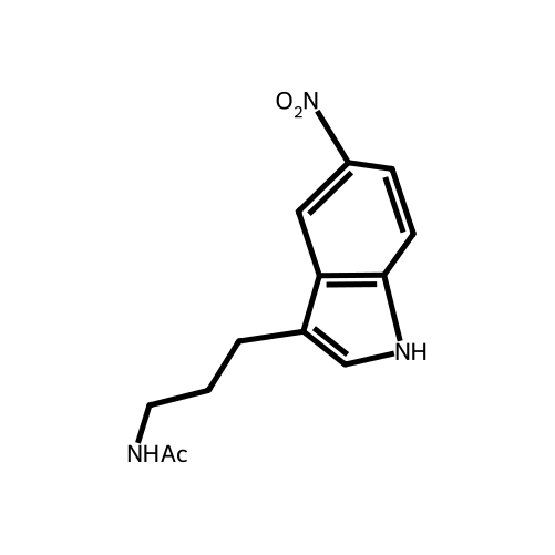 CC(=O)NCCCc1c[nH]c2ccc([N+](=O)[O-])cc12